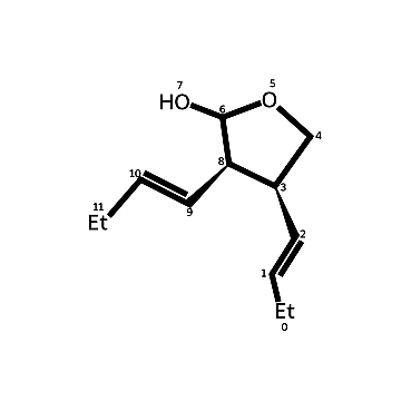 CC/C=C/[C@@H]1COC(O)[C@@H]1/C=C/CC